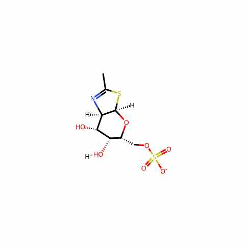 CC1=N[C@@H]2[C@@H](O)[C@@H](O)[C@@H](COS(=O)(=O)[O-])O[C@@H]2S1.[H+]